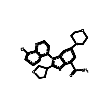 NC(=O)c1cc(N2CCOCC2)cc2c1nc(C1CCOC1)n2-c1ccnc2c(Cl)cccc12